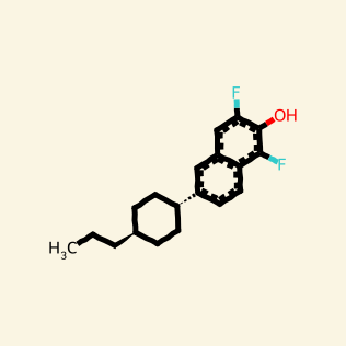 CCC[C@H]1CC[C@H](c2ccc3c(F)c(O)c(F)cc3c2)CC1